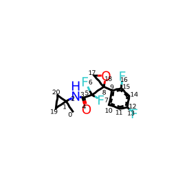 CC1(NC(=O)C(F)(F)C2(c3ccc(F)cc3F)CO2)CC1